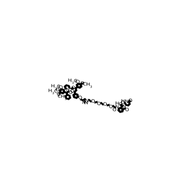 COc1ccc(CCC(OC(=O)[C@@H]2CCCCN2C(=O)C(c2cc(OC)c(OC)c(OC)c2)C2CCCCC2)c2cccc(OCc3cn(CCOCCOCCOCCOCC(=O)Nc4cccc5c4C(=O)N(C4CCC(=O)NC4=O)C5=O)nn3)c2)cc1OC